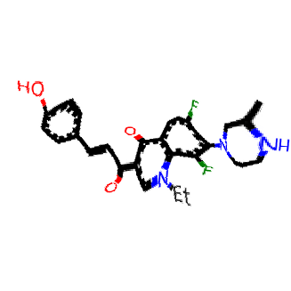 CCn1cc(C(=O)C=Cc2ccc(O)cc2)c(=O)c2cc(F)c(N3CCNC(C)C3)c(F)c21